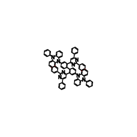 c1ccc(-c2cc(-c3cc(N4c5ccccc5N(c5ccccc5)c5ccccc54)ccc3-c3ccc(N4c5ccccc5N(c5ccccc5)c5ccccc54)cc3-c3cc(-c4ccccc4)nc(-c4ccccc4)n3)nc(-c3ccccc3)n2)cc1